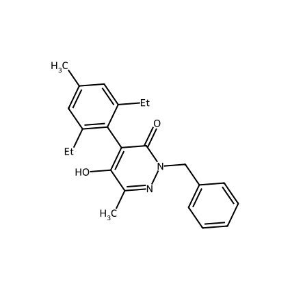 CCc1cc(C)cc(CC)c1-c1c(O)c(C)nn(Cc2ccccc2)c1=O